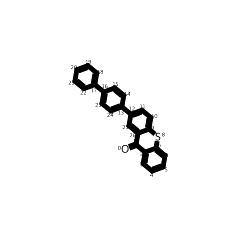 O=c1c2ccccc2sc2ccc(-c3ccc(-c4ccccc4)cc3)cc12